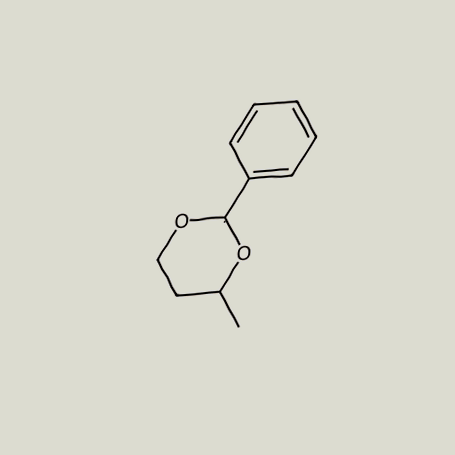 CC1CCO[C](c2ccccc2)O1